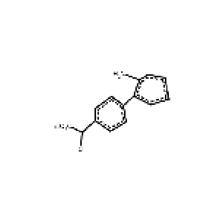 CCOC(=O)C(Cl)c1ccc(-c2ccccc2N)cc1